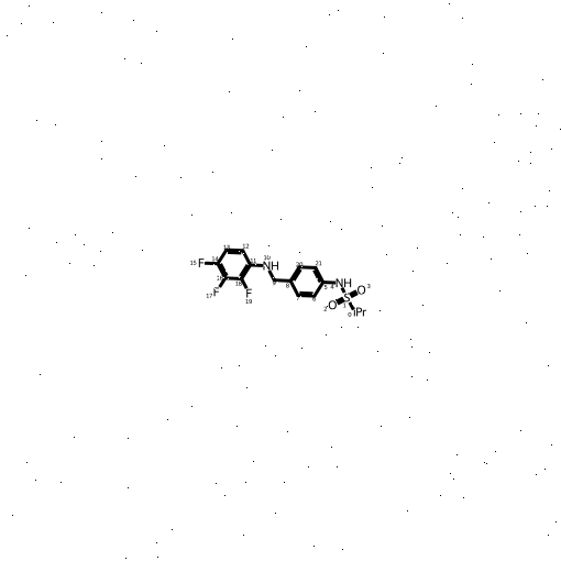 CC(C)S(=O)(=O)Nc1ccc(CNc2ccc(F)c(F)c2F)cc1